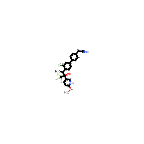 COc1ccc(C(O)(C(C)c2ccc(-c3ccc(CC#N)cc3)cc2Cl)C(F)(F)F)cn1